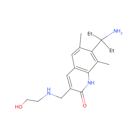 CCC(N)(CC)c1c(C)cc2cc(CNCCO)c(=O)[nH]c2c1C